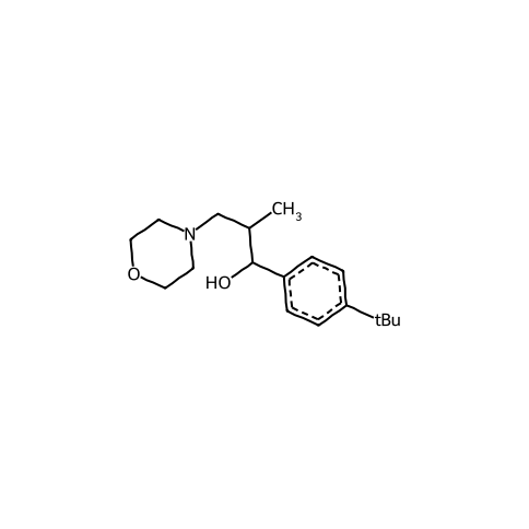 CC(CN1CCOCC1)C(O)c1ccc(C(C)(C)C)cc1